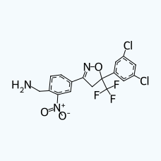 NCc1ccc(C2=NOC(c3cc(Cl)cc(Cl)c3)(C(F)(F)F)C2)cc1[N+](=O)[O-]